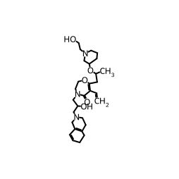 C=CC1=C(CC(C)OC2CCCN(CCO)C2)OCCN(CC(O)CN2CCC3=C(C=CCC3)C2)C1=O